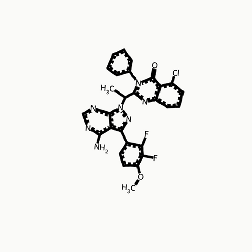 COc1ccc(-c2nn(C(C)c3nc4cccc(Cl)c4c(=O)n3-c3ccccc3)c3ncnc(N)c23)c(F)c1F